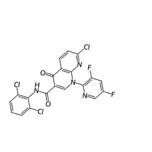 O=C(Nc1c(Cl)cccc1Cl)c1cn(-c2ncc(F)cc2F)c2nc(Cl)ccc2c1=O